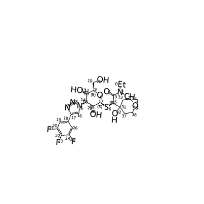 CCN(C)C(=O)[C@H](S[C@@H]1O[C@H](CO)[C@H](O)[C@H](n2cc(-c3cc(F)c(F)c(F)c3)nn2)[C@H]1O)C1(O)CCOCC1